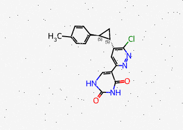 Cc1ccc([C@H]2C[C@@H]2c2cc(-c3c[nH]c(=O)[nH]c3=O)nnc2Cl)cc1